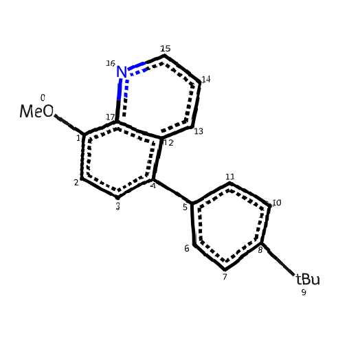 COc1ccc(-c2ccc(C(C)(C)C)cc2)c2cccnc12